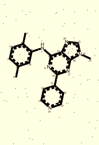 Cc1ccc(C)c(Nc2nc(-c3ccncc3)nc3c2ncn3C)c1